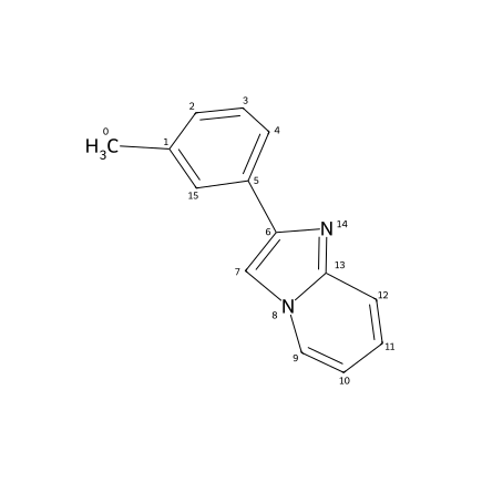 Cc1cccc(-c2cn3ccccc3n2)c1